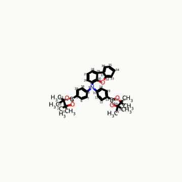 CC1(C)OB(c2ccc(N(c3ccc(B4OC(C)(C)C(C)(C)O4)cc3)c3cccc4c3oc3ccccc34)cc2)OC1(C)C